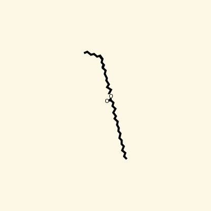 CCCCC/C=C\C/C=C/CCCCCCCCOC(=O)CCCCCCCCCCCCCCCCCCC